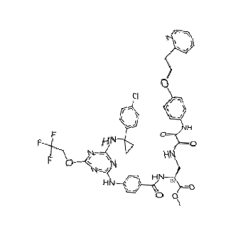 COC(=O)[C@H](CNC(=O)C(=O)Nc1ccc(OCCc2ccccn2)cc1)NC(=O)c1ccc(Nc2nc(NC3(c4ccc(Cl)cc4)CC3)nc(OCC(F)(F)F)n2)cc1